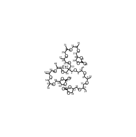 CCC(COCC(C)OCC(C)OCC(C)OCC1COC(=O)O1)(COCC(C)OCC(C)OCC(C)OCC1COC(=O)O1)COCC(C)OCC(C)OCC(C)OCC1COC(=O)O1